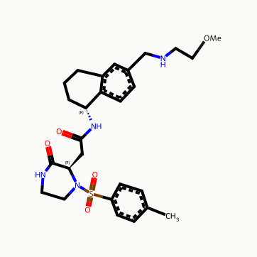 COCCNCc1ccc2c(c1)CCC[C@H]2NC(=O)C[C@@H]1C(=O)NCCN1S(=O)(=O)c1ccc(C)cc1